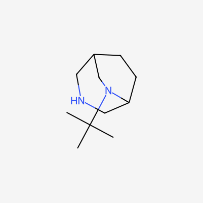 CC(C)(C)N1CC2CCC1CNC2